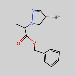 CC(C)C1C=NN(C(C)C(=O)OCc2ccccc2)C1